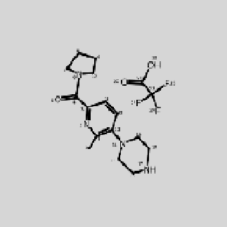 Cc1nc(C(=O)N2CCCC2)ccc1N1CCNCC1.O=C(O)C(F)(F)F